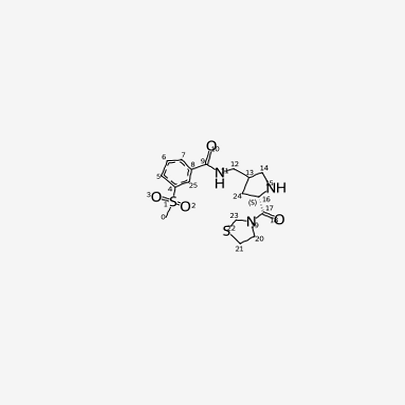 CS(=O)(=O)c1cccc(C(=O)NCC2CN[C@H](C(=O)N3CCSC3)C2)c1